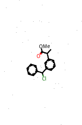 COC(=O)C(C)c1cccc(C(Cl)c2ccccc2)c1